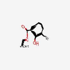 CCCCCCCCCOC(=O)c1cccc(CC)c1O